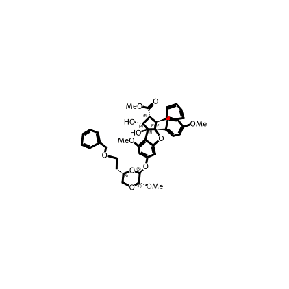 COC(=O)[C@H]1[C@@H](O)[C@@]2(O)c3c(OC)cc(O[C@@H]4O[C@@H](CCOCc5ccccc5)CO[C@H]4OC)cc3O[C@@]2(c2ccc(OC)cc2)[C@@H]1c1ccccc1